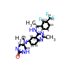 Cc1nc(N[C@H](C)c2cccc(C(F)F)c2F)c2cc(N(C)c3cnc(=O)[nH]c3)ccc2n1